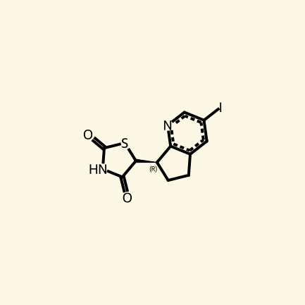 O=C1NC(=O)C([C@@H]2CCc3cc(I)cnc32)S1